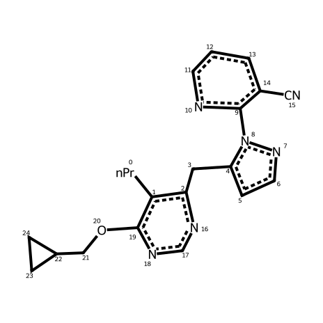 CCCc1c(Cc2ccnn2-c2ncccc2C#N)ncnc1OCC1CC1